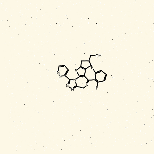 OCC1Cc2sc3c(c2C1)C(c1c(F)cccc1F)=NCc1nnc(-c2cccnn2)n1-3